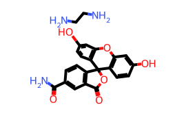 NC(=O)c1ccc2c(c1)C(=O)OC21c2ccc(O)cc2Oc2cc(O)ccc21.NCCN